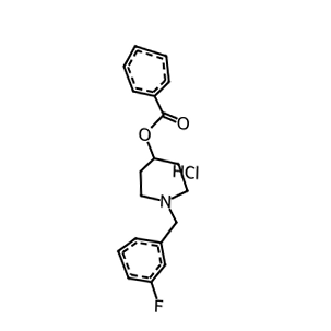 Cl.O=C(OC1CCN(Cc2cccc(F)c2)CC1)c1ccccc1